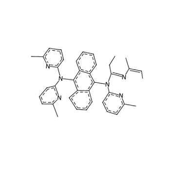 C/C=C(C)\N=C(/CC)N(c1cccc(C)n1)c1c2ccccc2c(N(c2cccc(C)n2)c2cccc(C)n2)c2ccccc12